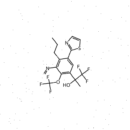 C=Nc1c(CCC)c(-c2nccs2)cc(C(C)(O)C(F)(F)F)c1OC(F)(F)F